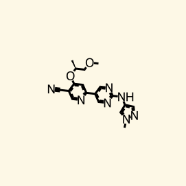 COC[C@H](C)Oc1cc(-c2cnc(Nc3cnn(C)c3)nc2)ncc1C#N